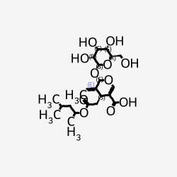 C/C=C1/[C@H](O[C@@H]2O[C@H](CO)[C@@H](O)[C@H](O)[C@H]2O)OC=C(C(=O)O)[C@H]1CC(=O)OC(C)CC(C)C